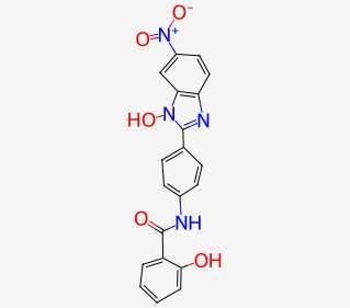 O=C(Nc1ccc(-c2nc3ccc([N+](=O)[O-])cc3n2O)cc1)c1ccccc1O